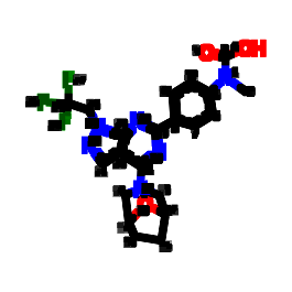 CN(C(=O)O)c1ccc(-c2nc(N3CC4CCC(C3)O4)c3cnn(CC(F)(F)F)c3n2)cc1